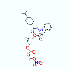 CC(OC(=O)OC/C=C\COC(=O)[C@@H](Cc1ccccc1)NC(=O)[C@H]1CC[C@H](C(C)C)CC1)O[N+](=O)[O-]